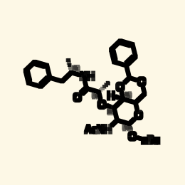 CCCCO[C@H]1OC2COC(c3ccccc3)O[C@H]2[C@H](O[C@@H](C)C(=O)N[C@@H](C)Cc2ccccc2)C1NC(C)=O